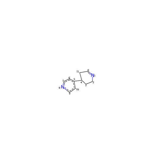 C1=NCCC(c2ccncc2)C1